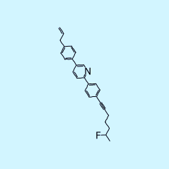 C=CCc1ccc(-c2ccc(-c3ccc(C#CCCCC(C)F)cc3)nc2)cc1